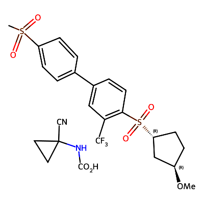 CO[C@@H]1CC[C@@H](S(=O)(=O)c2ccc(-c3ccc(S(C)(=O)=O)cc3)cc2C(F)(F)F)C1.N#CC1(NC(=O)O)CC1